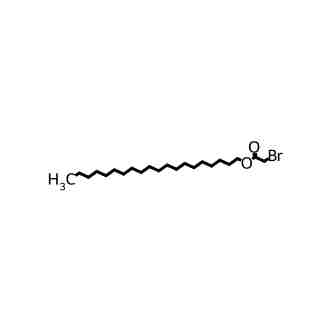 CCCCCCCCCCCCCCCCCCCCOC(=O)CBr